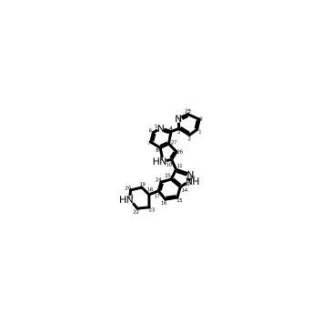 c1ccc(-c2nccc3[nH]c(-c4n[nH]c5ccc(C6CCNCC6)cc45)cc23)nc1